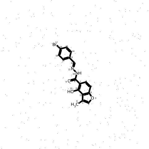 Cc1coc2ccc(C(=O)NN=Cc3ccc(Br)cc3)c(O)c12